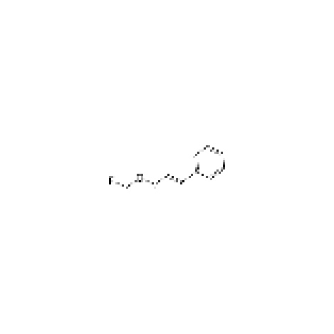 FCO[CH]C=Cc1ccccc1